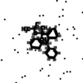 CC(C)O[Si](C)(C)c1ccccc1P(c1ccccc1)c1ccccc1